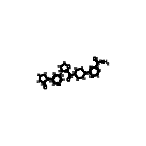 NC(=O)c1ccnc(N2CCC(C(=O)N3OCC[C@H]3c3cncc(N4CCCC4=O)c3)CC2)n1